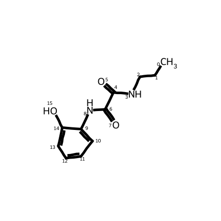 CCCNC(=O)C(=O)Nc1ccccc1O